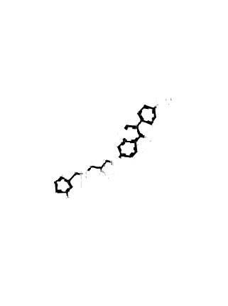 COc1ccc(-c2coc3cc(OC[C@@H](O)CNCc4cccc(C(F)(F)F)c4)ccc3c2=O)cc1